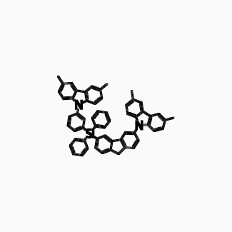 Cc1ccc2c(c1)c1cc(C)ccc1n2-c1cccc([Si](c2ccccc2)(c2ccccc2)c2ccc3c(c2)-c2cc(-n4c5ccc(C)cc5c5cc(C)ccc54)ccc2C3)c1